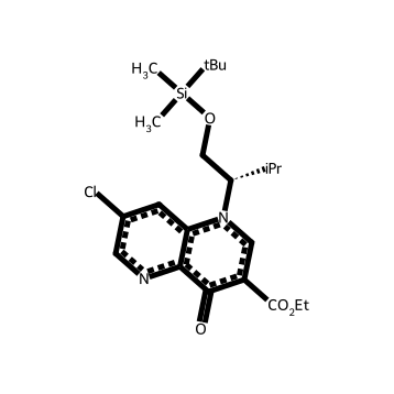 CCOC(=O)c1cn([C@H](CO[Si](C)(C)C(C)(C)C)C(C)C)c2cc(Cl)cnc2c1=O